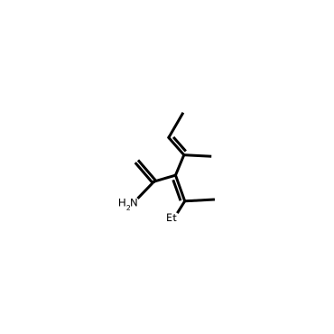 C=C(N)C(=C(/C)CC)/C(C)=C/C